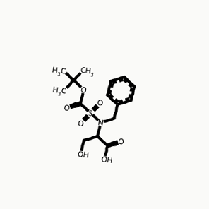 CC(C)(C)OC(=O)S(=O)(=O)N(Cc1ccccc1)C(CO)C(=O)O